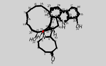 O=C1CCCN2C(CC1)C[C@@]13CN4CCCC/C=C/CC[C@@](O)(C=C(c5nccc6c5[nH]c5c(O)cccc56)[C@H]1CC4)[C@@H]23